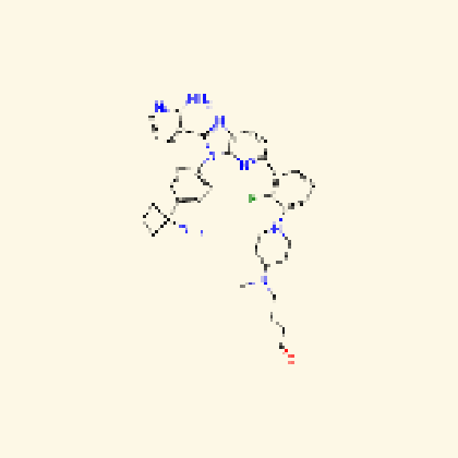 CN(CCCC=O)C1CCN(c2cccc(-c3ccc4nc(-c5cccnc5N)n(-c5ccc(C6(N)CCC6)cc5)c4n3)c2F)CC1